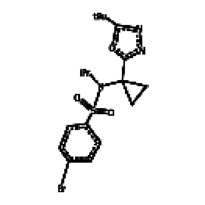 CC(C)N(C1(c2nnc(C(C)(C)C)o2)CC1)S(=O)(=O)c1ccc(Br)cc1